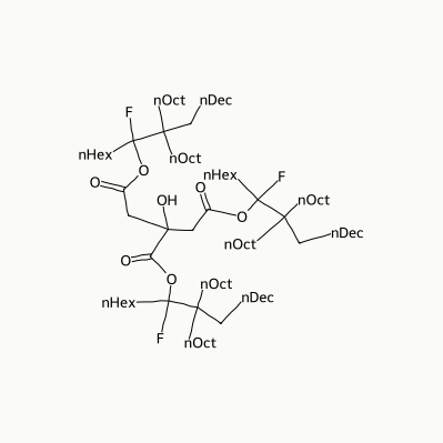 CCCCCCCCCCCC(CCCCCCCC)(CCCCCCCC)C(F)(CCCCCC)OC(=O)CC(O)(CC(=O)OC(F)(CCCCCC)C(CCCCCCCC)(CCCCCCCC)CCCCCCCCCCC)C(=O)OC(F)(CCCCCC)C(CCCCCCCC)(CCCCCCCC)CCCCCCCCCCC